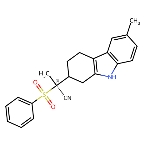 Cc1ccc2[nH]c3c(c2c1)CCC([C@@](C)(C#N)S(=O)(=O)c1ccccc1)C3